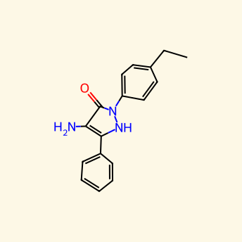 CCc1ccc(-n2[nH]c(-c3ccccc3)c(N)c2=O)cc1